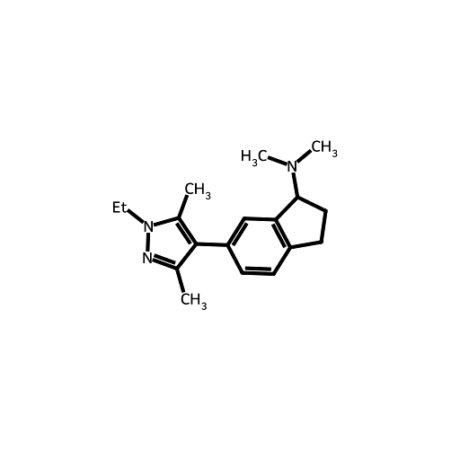 CCn1nc(C)c(-c2ccc3c(c2)C(N(C)C)CC3)c1C